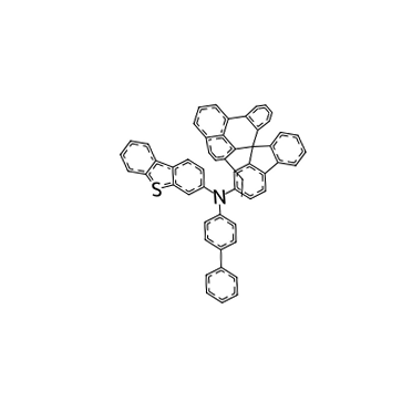 CCc1ccc2cccc3c2c1C1(c2ccccc2-c2ccc(N(c4ccc(-c5ccccc5)cc4)c4ccc5c(c4)sc4ccccc45)cc21)c1ccccc1-3